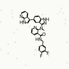 CN(c1ncccc1C(=O)NCc1ccc(F)c(F)c1)c1n[nH]c2ccc(-c3c[nH]c4ncccc34)cc12